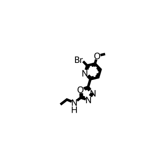 CCNc1nnc(-c2ccc(OC)c(Br)n2)o1